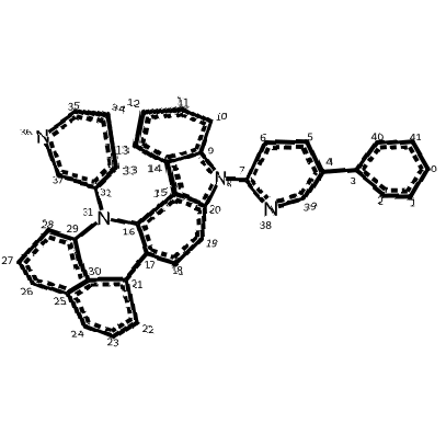 c1ccc(-c2ccc(-n3c4ccccc4c4c5c(ccc43)-c3cccc4cccc(c34)N5c3cccnc3)nc2)cc1